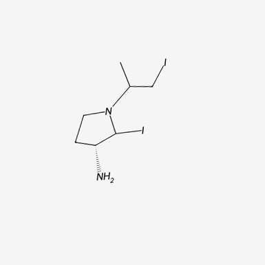 CC(CI)N1CC[C@@H](N)C1I